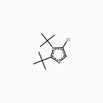 CC(C)(C)c1ncc(Cl)n1C(C)(C)C